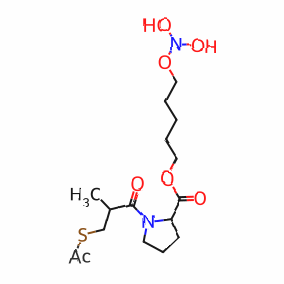 CC(=O)SCC(C)C(=O)N1CCCC1C(=O)OCCCCCON(O)O